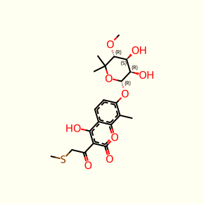 CO[C@@H]1[C@@H](O)[C@@H](O)[C@H](Oc2ccc3c(O)c(C(=O)CSC)c(=O)oc3c2C)OC1(C)C